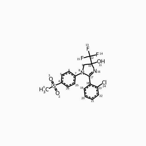 CS(=O)(=O)c1ccc(N2CC(O)(C(F)(F)F)N=C2c2ccccc2Cl)cc1